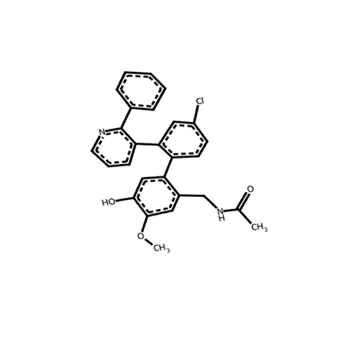 COc1cc(CNC(C)=O)c(-c2ccc(Cl)cc2-c2cccnc2-c2ccccc2)cc1O